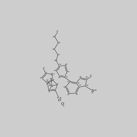 CC1=C2c3cc(C)oc3C1[Si]2(C)C.CCCCCCc1ccc(-c2cccc3c2C=C(C)[CH]3[Zr+2])cc1.[Cl-].[Cl-]